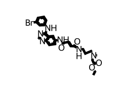 CCOC(=O)CN(C)CCCNC(=O)C=CC(=O)Nc1ccc2ncnc(Nc3cccc(Br)c3)c2c1